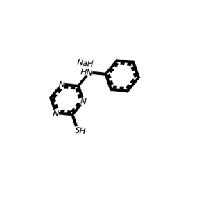 Sc1ncnc(Nc2ccccc2)n1.[NaH]